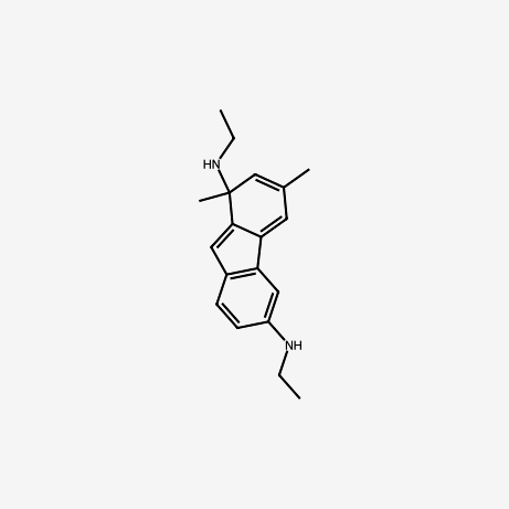 CCNc1ccc2c(c1)C1=CC(C)=CC(C)(NCC)C1=C2